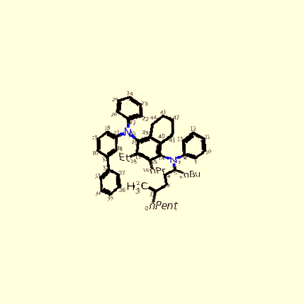 CCCCCC(C)CCC(CCCC)N(c1ccccc1)c1c(CCC)c(CC)c(N(c2ccccc2)c2cccc(-c3ccccc3)c2)c2c1CCCC2